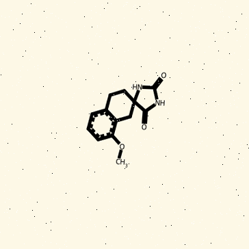 COc1cccc2c1CC1(CC2)NC(=O)NC1=O